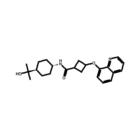 CC(C)(O)[C@H]1CC[C@H](NC(=O)C2CC(Oc3cccc4cccnc34)C2)CC1